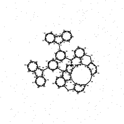 c1cc(-n2c3ccccc3c3ccccc32)cc(-n2c3cc4c5cc3n3c6c(cccc62)Cc2ccc(cc2-3)Cc2ccc3c(c2)-n5c2c(cccc2n4-c2cccc(-n4c5ccccc5c5ccccc54)c2)C3)c1